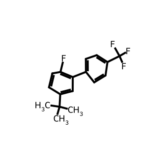 CC(C)(C)c1ccc(F)c(-c2ccc(C(F)(F)F)cc2)c1